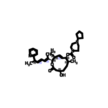 C/C(=C\C=C\[C@@H](C)c1ccccn1)[C@H]1OC(=O)C[C@H](O)CC[C@H](C)[C@@H](OC(=O)N2CCN(C3CCCC3)CC2)/C=C/[C@@H]1C